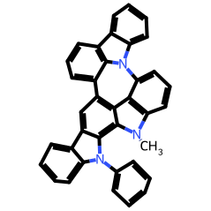 Cn1c2cccc3c2c2c(cc4c5ccccc5n(-c5ccccc5)c4c21)c1cccc2c4ccccc4n3c12